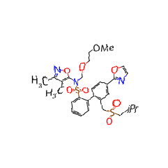 COCCOCN(c1onc(C)c1C)S(=O)(=O)c1ccccc1-c1ccc(-c2ncco2)cc1CS(=O)(=O)CC(C)C